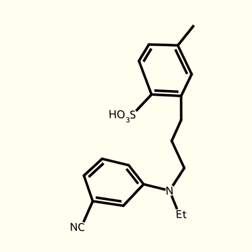 CCN(CCCc1cc(C)ccc1S(=O)(=O)O)c1cccc(C#N)c1